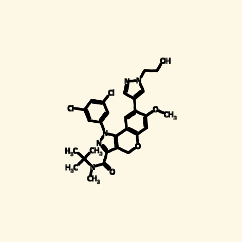 COc1cc2c(cc1-c1cnn(CCO)c1)-c1c(c(C(=O)N(C)C(C)(C)C)nn1-c1cc(Cl)cc(Cl)c1)CO2